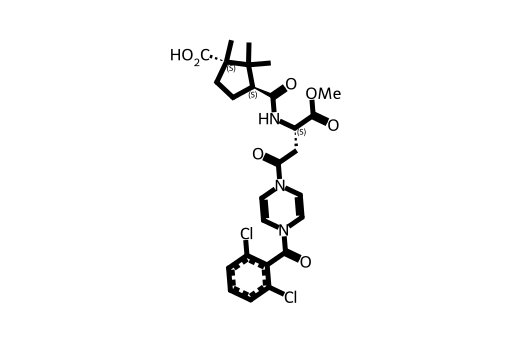 COC(=O)[C@H](CC(=O)N1C=CN(C(=O)c2c(Cl)cccc2Cl)C=C1)NC(=O)[C@H]1CC[C@](C)(C(=O)O)C1(C)C